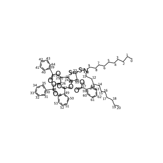 CCCCCCCCCCN(CCCCCCCCCC)S[C@@H]1S[C@@H]([C@@H](COC(=O)c2ccccc2)OC(=O)c2ccccc2)[C@H](OC(=O)c2ccccc2)[C@H]1OC(=O)c1ccccc1